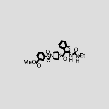 CCNC(=O)Nc1sc2ccccc2c1C(=O)N1CCN(S(=O)(=O)c2cccc(C(=O)OC)c2)CC1